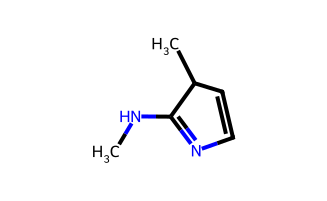 CNC1=NC=CC1C